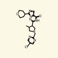 CC1CN(Cc2ncc(Cl)cn2)CC1c1nn2c(C3CCOCC3)ncc2c(=O)[nH]1